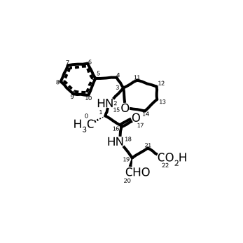 C[C@H](NC1(Cc2ccccc2)CCCCO1)C(=O)N[C@H](C=O)CC(=O)O